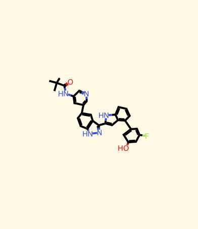 CC(C)(C)C(=O)Nc1cncc(-c2ccc3[nH]nc(-c4cc5c(-c6cc(O)cc(F)c6)cccc5[nH]4)c3c2)c1